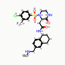 CC(C)(C)NCc1ccc2c(c1)CCC[C@H]2NC(=O)C[C@@H]1C(=O)NCCN1S(=O)(=O)c1ccc(Cl)c(C(F)(F)F)c1